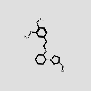 COc1ccc(CCO[C@@H]2CCCC[C@H]2N2CC[C@@H](ON)C2)cc1OC